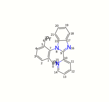 CC(C)c1cccc(C(C)C)c1-n1c(-c2ccccn2)nc2ccccc21